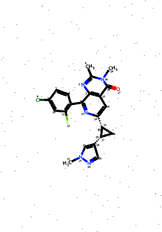 Cc1nc2c(-c3ccc(Cl)cc3F)nc([C@@H]3C[C@@H]3c3cnn(C)c3)cc2c(=O)n1C